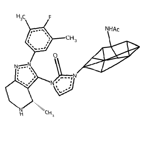 CC(=O)NC12C3C4C35C1C13C2C1C4(n1ccn(-c2c4c(nn2-c2cc(C)c(F)c(C)c2)CCN[C@H]4C)c1=O)C53